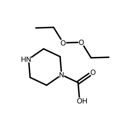 CCOOCC.O=C(O)N1CCNCC1